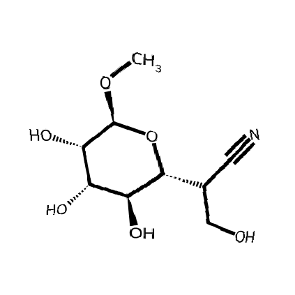 CO[C@H]1O[C@H](C(C#N)CO)[C@@H](O)[C@H](O)[C@@H]1O